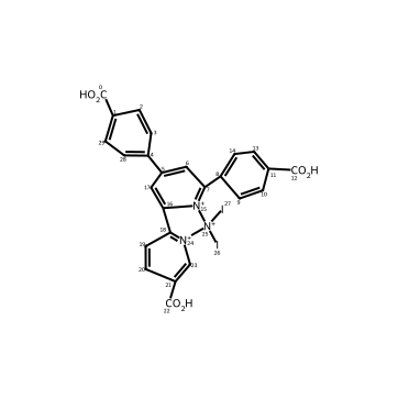 O=C(O)c1ccc(-c2cc(-c3ccc(C(=O)O)cc3)[n+]3c(c2)-c2ccc(C(=O)O)c[n+]2[N+]3(I)I)cc1